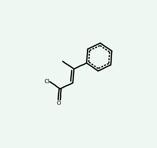 CC(=CC(=O)Cl)c1ccccc1